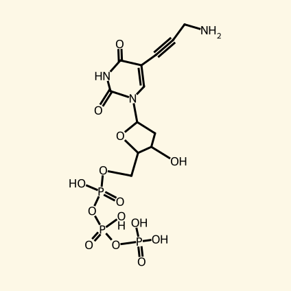 NCC#Cc1cn(C2CC(O)C(COP(=O)(O)OP(=O)(O)OP(=O)(O)O)O2)c(=O)[nH]c1=O